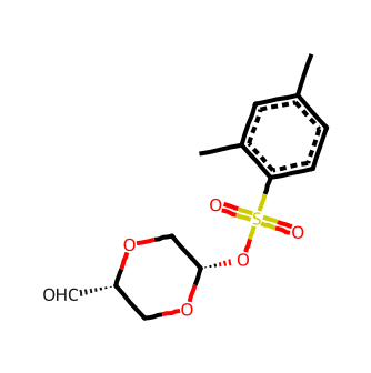 Cc1ccc(S(=O)(=O)O[C@H]2CO[C@@H](C=O)CO2)c(C)c1